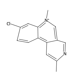 Cc1cc2c(cn1)c[n+](C)c1cc(Cl)ccc21